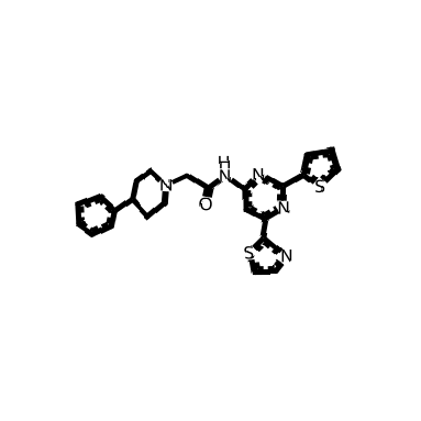 O=C(CN1CCC(c2ccccc2)CC1)Nc1cc(-c2nccs2)nc(-c2cccs2)n1